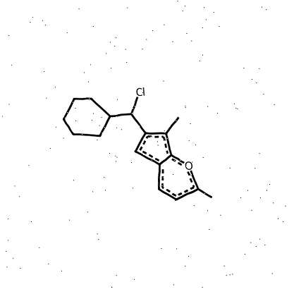 Cc1ccc2cc(C(Cl)C3CCCCC3)c(C)c-2o1